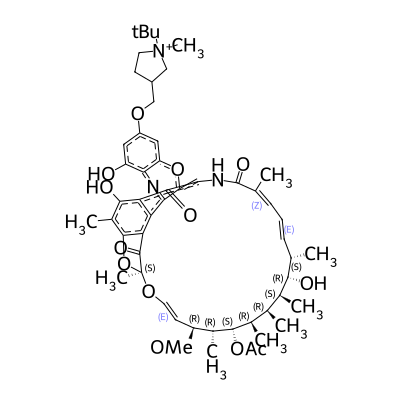 CO[C@H]1/C=C/O[C@@]2(C)Oc3c(C)c(O)c4c(=O)c(c5oc6cc(OCC7CC[N+](C)(C(C)(C)C)C7)cc(O)c6nc-5c4c3C2=O)NC(=O)/C(C)=C\C=C\[C@H](C)[C@H](O)[C@@H](C)[C@@H](C)[C@@H](C)[C@H](OC(C)=O)[C@@H]1C